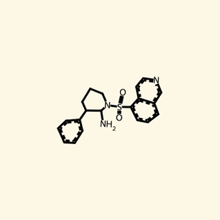 NC1C(c2ccccc2)CCCN1S(=O)(=O)c1cccc2cnccc12